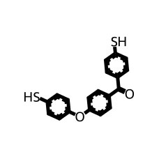 O=C(c1ccc(S)cc1)c1ccc(Oc2ccc(S)cc2)cc1